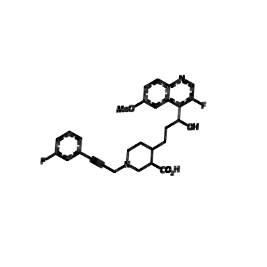 COc1ccc2ncc(F)c(C(O)CCC3CCN(CC#Cc4cccc(F)c4)CC3C(=O)O)c2c1